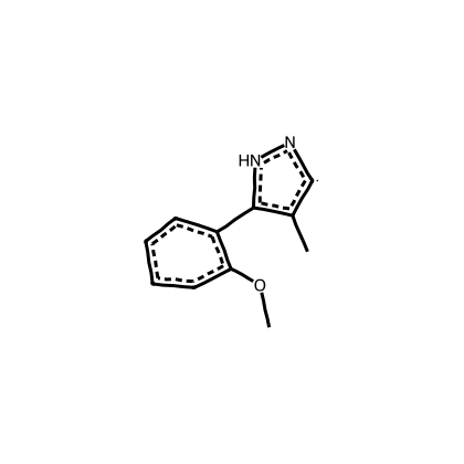 COc1ccccc1-c1[nH]n[c]c1C